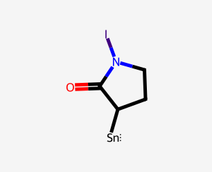 O=C1[CH]([Sn])CCN1I